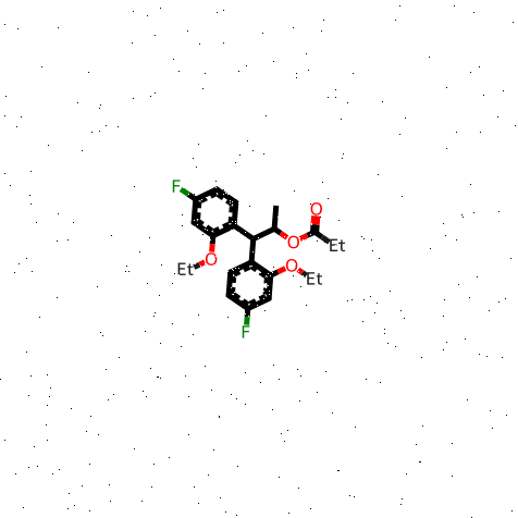 CCOc1cc(F)ccc1C(c1ccc(F)cc1OCC)C(C)OC(=O)CC